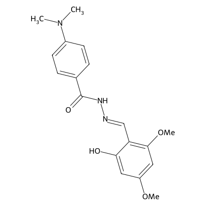 COc1cc(O)c(/C=N/NC(=O)c2ccc(N(C)C)cc2)c(OC)c1